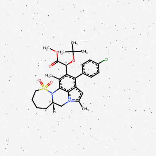 COC(=O)[C@@H](OC(C)(C)C)c1c(C)c2c3c(cc(C)n3C[C@@H]3CCCCS(=O)(=O)N23)c1-c1ccc(Cl)cc1